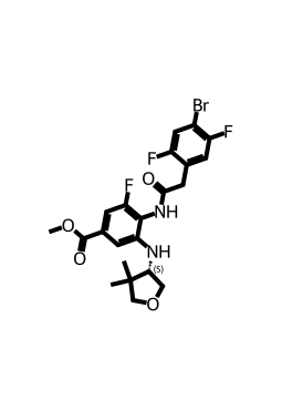 COC(=O)c1cc(F)c(NC(=O)Cc2cc(F)c(Br)cc2F)c(N[C@@H]2COCC2(C)C)c1